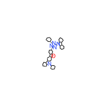 c1ccc(-c2nc(-c3ccc4c(c3)oc3cc5c(cc34)c3ccccc3n5-c3ccccc3)nc(-n3c4ccccc4c4ccccc43)n2)cc1